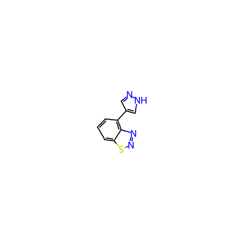 c1cc(-c2cn[nH]c2)c2nnsc2c1